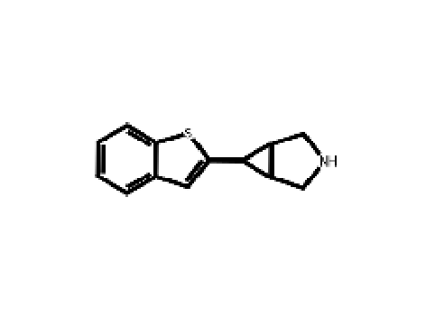 c1ccc2sc(C3C4CNCC43)cc2c1